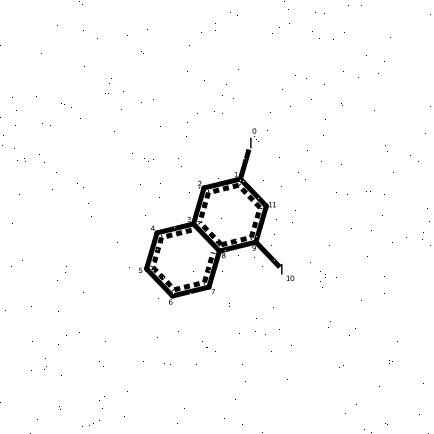 Ic1[c]c2ccccc2c(I)c1